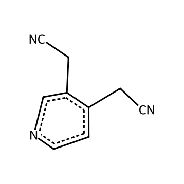 N#CCc1ccncc1CC#N